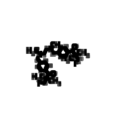 CN(CCN(C)Cc1ccc(C(=O)C(C)(C)CF)cc1)Cc1ccc(C(=O)C(C)(C)CF)cc1